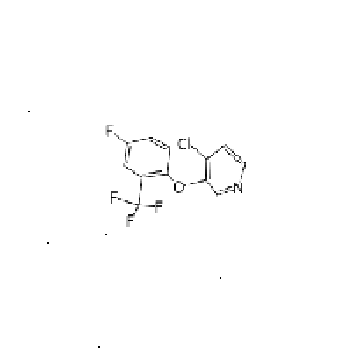 Fc1ccc(Oc2cnccc2Cl)c(C(F)(F)F)c1